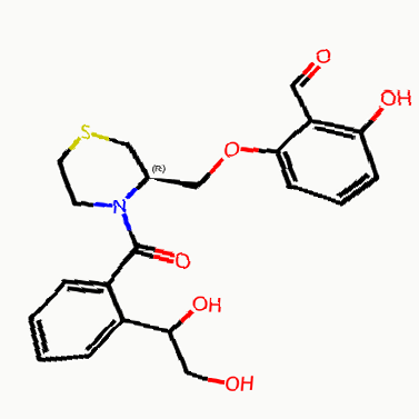 O=Cc1c(O)cccc1OC[C@@H]1CSCCN1C(=O)c1ccccc1C(O)CO